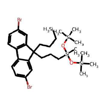 C[Si](C)(C)O[Si](C)(CCCC1(CCC[SiH3])c2cc(Br)ccc2-c2ccc(Br)cc21)O[Si](C)(C)C